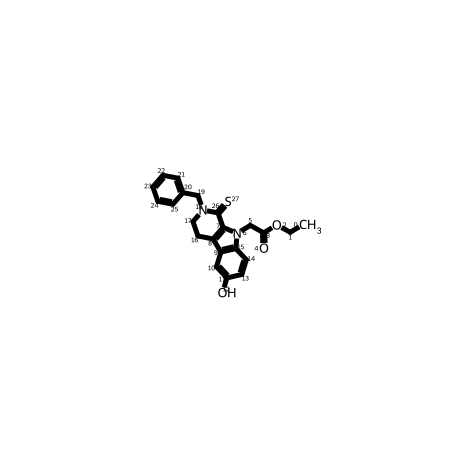 CCOC(=O)Cn1c2c(c3cc(O)ccc31)CCN(Cc1ccccc1)C2=S